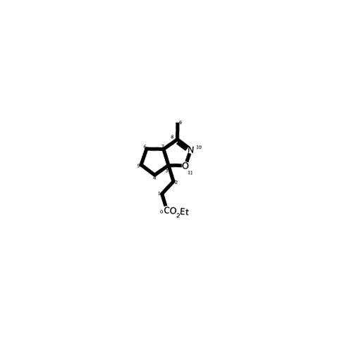 CCOC(=O)CCC12CCCC1C(C)=NO2